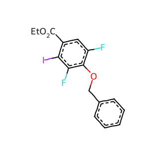 CCOC(=O)c1cc(F)c(OCc2ccccc2)c(F)c1I